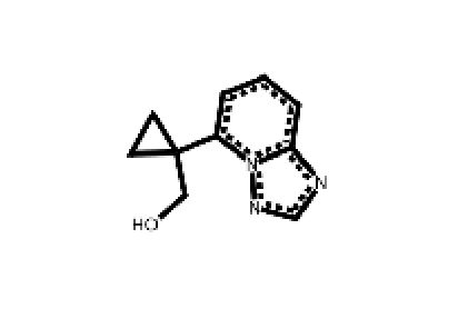 OCC1(c2cccc3ncnn23)CC1